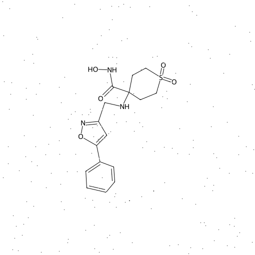 O=C(NO)C1(NCc2cc(-c3ccccc3)on2)CCS(=O)(=O)CC1